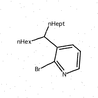 CCCCCCCC(CCCCCC)c1cccnc1Br